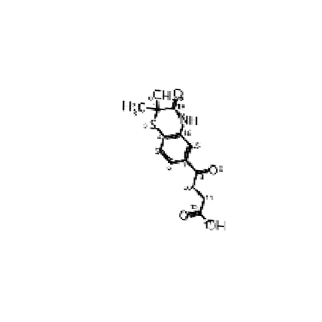 CC1(C)Sc2ccc(C(=O)CCC(=O)O)cc2NC1=O